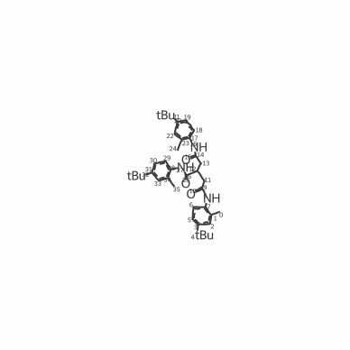 Cc1cc(C(C)(C)C)ccc1NC(=O)CC(CC(=O)Nc1ccc(C(C)(C)C)cc1C)C(=O)Nc1ccc(C(C)(C)C)cc1C